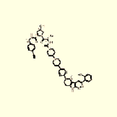 C#Cc1ccc([C@H](C)NC(=O)[C@@H]2C[C@@H](O)CN2C(=O)[C@@H](NC(=O)N2CCC(N3CCC(c4cnc(N5CCc6[nH]c7nnc(-c8ccccc8O)cc7c6[C@H]5C)nc4)CC3)CC2)C(C)(C)C)cc1